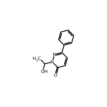 CC(O)n1nc(-c2ccccc2)ccc1=O